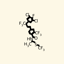 C[C@H](CSCC(F)(F)F)NC(=O)c1ccc(/C=C/C(c2cc(Cl)c(F)c(Cl)c2)C(F)(F)F)cc1C(F)(F)F